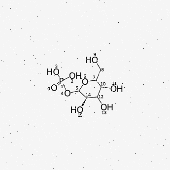 O=P(O)(O)OC1OC(CO)C(O)C(O)[C@H]1O